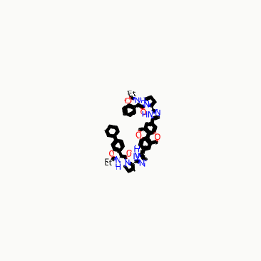 CCC(=O)N[C@@H](C(=O)N1CCC[C@H]1c1ncc(-c2cc3c4c(c2)OCc2cc(-c5cnc([C@@H]6CCCN6C(=O)[C@H](NC(=O)CC)c6ccc(C7CCCCC7)cc6)[nH]5)cc(c2-4)OC3)[nH]1)c1ccccc1